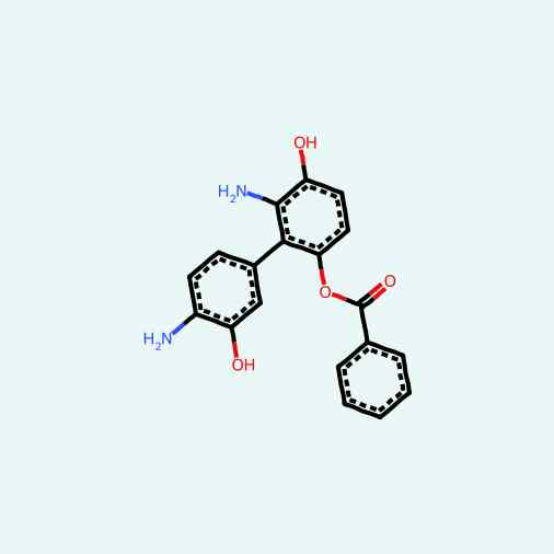 Nc1ccc(-c2c(OC(=O)c3ccccc3)ccc(O)c2N)cc1O